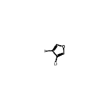 [Li][c]1cocc1I